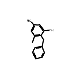 Cc1cc(O)cc(O)c1Cc1ccccc1